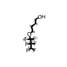 OCCCCOC(F)(F)C(F)(F)C(F)F